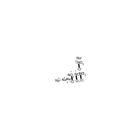 O=[N+]([O-])[O-].O=[N+]([O-])[O-].O=[N+]([O-])[O-].O=[N+]([O-])[O-].[Na+].[Na+].[Na+].[Na+]